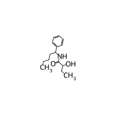 CCCCC(NC(=O)C(O)CC)c1ccccc1